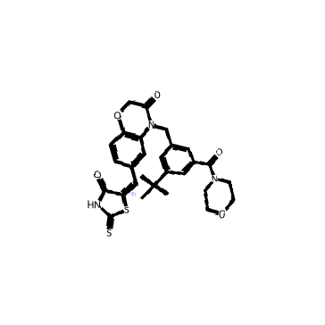 CC(C)(C)c1cc(CN2C(=O)COc3ccc(/C=C4/SC(=S)NC4=O)cc32)cc(C(=O)N2CCOCC2)c1